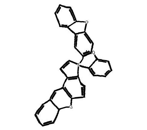 COc1ccccc1S1(c2ccc3oc4ccccc4c3c2)C=Cc2c1ccc1c2C=C2C=CC=CC2O1